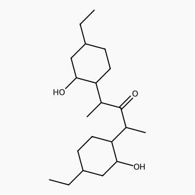 CCC1CCC(C(C)C(=O)C(C)C2CCC(CC)CC2O)C(O)C1